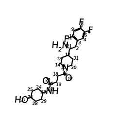 N[C@H](Cc1cc(F)c(F)cc1F)C1CCN(C(=O)CCC(=O)NC2CCC(O)CC2)CC1